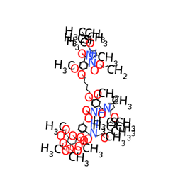 C=CCOC(=O)Nc1cc(OCCCCCOc2cc(NC(=O)OCc3ccc(O[C@@H]4O[C@H](C(=O)OC)[C@@H](OC(C)=O)[C@H](OC(C)=O)[C@H]4OC(C)=O)c(C(=O)NCCOC)c3)c(C(=O)N3C=C(C)CC3CO[Si](C)(C)C(C)(C)C)cc2OC)c(OC)cc1C(=O)N1C=C(C)CC1CO[Si](C)(C)C(C)(C)C